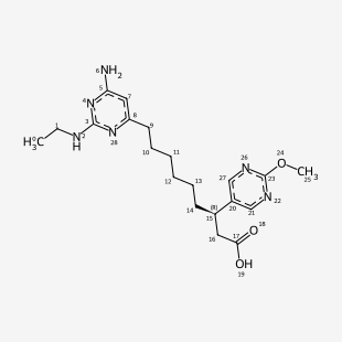 CCNc1nc(N)cc(CCCCCC[C@H](CC(=O)O)c2cnc(OC)nc2)n1